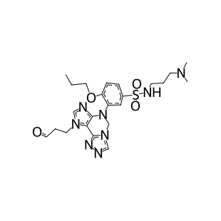 CCCOc1ccc(S(=O)(=O)NCCCN(C)C)cc1N1Cn2cnnc2-c2c1ncn2CCC=O